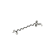 COC(=O)CCCCCCCCCCCS(N)(=O)=O